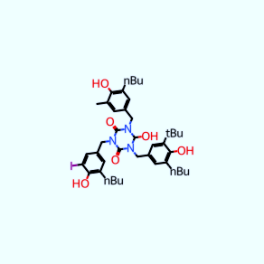 CCCCc1cc(CN2C(=O)N(Cc3cc(I)c(O)c(CCCC)c3)C(=O)N(Cc3cc(CCCC)c(O)c(C(C)(C)C)c3)C2O)cc(C)c1O